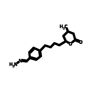 CC1CC(=O)OC(CCCCc2ccc(C=NN)cc2)C1